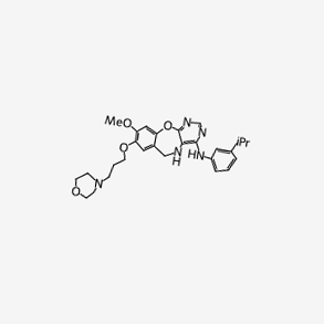 COc1cc2c(cc1OCCCN1CCOCC1)CNc1c(Nc3cccc(C(C)C)c3)ncnc1O2